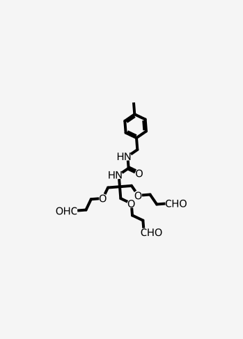 Cc1ccc(CNC(=O)NC(COCCC=O)(COCCC=O)COCCC=O)cc1